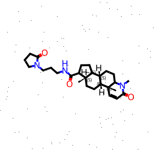 CN1C(=O)C=C[C@@]2(C)C1CC[C@@H]1[C@H]2CC[C@]2(C)C(C(=O)NCCCN3CCCC3=O)CC[C@@H]12